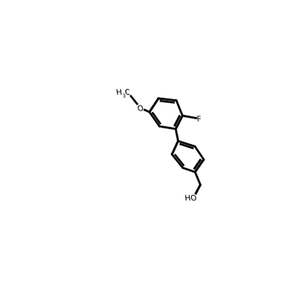 COc1ccc(F)c(-c2ccc(CO)cc2)c1